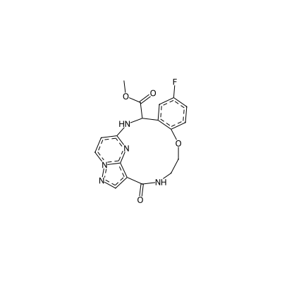 COC(=O)C1Nc2ccn3ncc(c3n2)C(=O)NCCOc2ccc(F)cc21